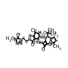 Cc1ccc([C@H](Nc2c(Nc3ccc(Cl)c4c3C(=O)N(CCn3nnn(C)c3=O)C4)c(=O)c2=O)C(C)(C)C)o1